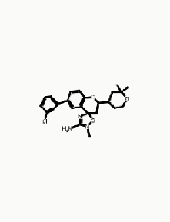 CN1OC2(CC(C3CCOC(C)(C)C3)Oc3ccc(-c4cccc(Cl)c4)cc32)N=C1N